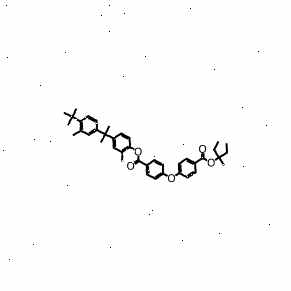 CCC(C)(CC)OC(=O)c1ccc(Oc2ccc(C(=O)Oc3ccc(C(C)(C)c4ccc(C(C)(C)C)c(C)c4)cc3C)cc2)cc1